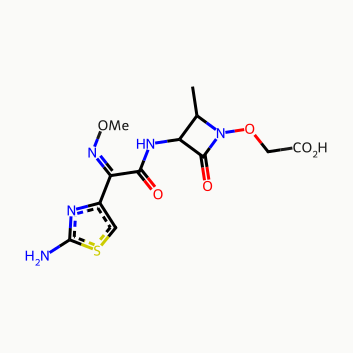 CON=C(C(=O)NC1C(=O)N(OCC(=O)O)C1C)c1csc(N)n1